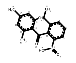 CCc1cccc([PH](=O)O)c1C(=O)c1c(C)cc(C)cc1C